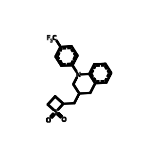 O=S1(=O)CCC1CC1Cc2ccccc2N(c2ccc(C(F)(F)F)cc2)C1